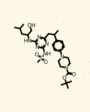 CC(C)CC(CO)Nc1nc(CC(C)c2ccc(N3CCN(C(=O)OC(C)(C)C)CC3)cc2)nc(NS(C)(=O)=O)n1